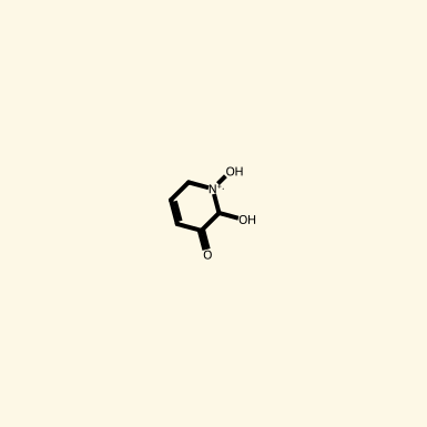 O=C1C=CC[N+](O)C1O